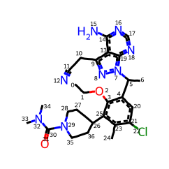 CCOc1c(C(C)n2nc(CC#N)c3c(N)ncnc32)cc(Cl)c(C)c1C1CCN(C(=O)N(C)C)CC1